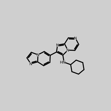 c1cn2c(NC3CCCCC3)c(-c3ccc4nccn4c3)nc2cn1